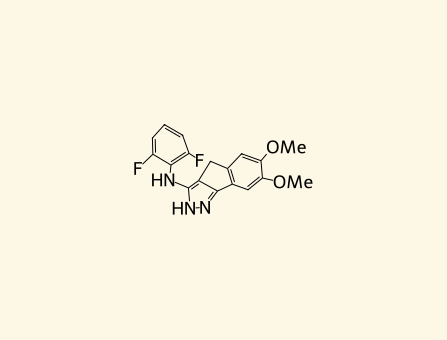 COc1cc2c(cc1OC)-c1n[nH]c(Nc3c(F)cccc3F)c1C2